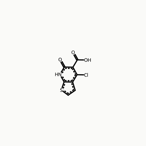 O=C(O)c1c(Cl)c2ccsc2[nH]c1=O